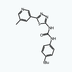 Cc1cncc(-c2nnc(NC(=O)Nc3ccc(C(C)(C)C)cc3)s2)c1